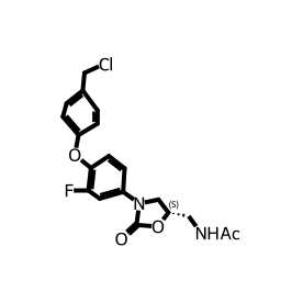 CC(=O)NC[C@H]1CN(c2ccc(Oc3ccc(CCl)cc3)c(F)c2)C(=O)O1